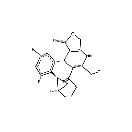 COC(=O)C1=C(CF)NC2=C(C(=O)OC2)[C@H]1c1cc(F)cc(F)c1[C@H]1CC1(F)F